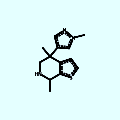 CC1NCC(C)(c2cnn(C)c2)c2ccsc21